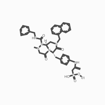 C=C(CP(=O)(O)OCC)Nc1ccc(C[C@H]2C(=O)N(Cc3cccc4ccccc34)C[C@H]3N2C(=O)CN(C)N3C(=O)NCc2ccccc2)cc1